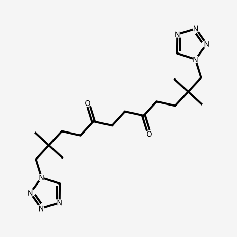 CC(C)(CCC(=O)CCC(=O)CCC(C)(C)Cn1cnnn1)Cn1cnnn1